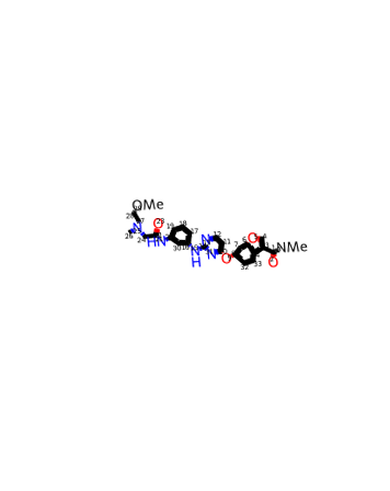 CNC(=O)c1coc2cc(Oc3ccnc(Nc4cccc(NC(=O)CN(C)CCOC)c4)n3)ccc12